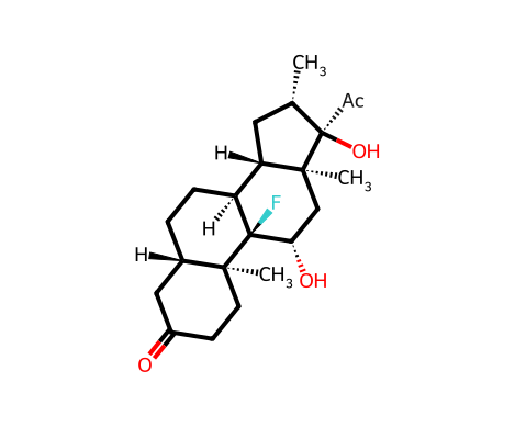 CC(=O)[C@@]1(O)[C@@H](C)C[C@H]2[C@@H]3CC[C@H]4CC(=O)CC[C@]4(C)[C@@]3(F)[C@@H](O)C[C@@]21C